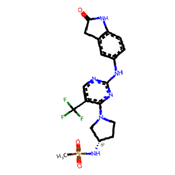 CS(=O)(=O)N[C@H]1CCN(c2nc(Nc3ccc4c(c3)CC(=O)N4)ncc2C(F)(F)F)C1